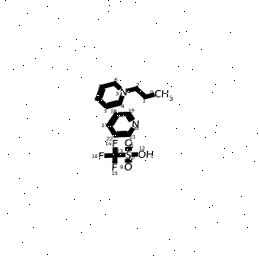 CCCN1C=CC=CC1.O=S(=O)(O)C(F)(F)F.c1ccncc1